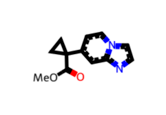 COC(=O)C1(c2ccn3ccnc3c2)CC1